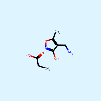 CCC(=O)O.Cc1onc(O)c1CN